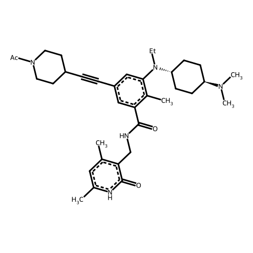 CCN(c1cc(C#CC2CCN(C(C)=O)CC2)cc(C(=O)NCc2c(C)cc(C)[nH]c2=O)c1C)[C@H]1CC[C@H](N(C)C)CC1